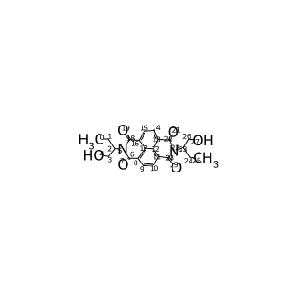 CCC(CO)N1C(=O)c2ccc3c4c(ccc(c24)C1=O)C(=O)N(C(CC)CO)C3=O